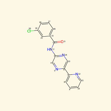 O=C(Nc1cnc(-c2ccccn2)cn1)c1cccc(Cl)c1